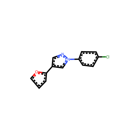 Clc1ccc(-n2cc(-c3ccco3)cn2)cc1